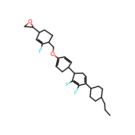 CCCC1CCC(C2=CCC(C3C=CC(OCC4CCC(C5CO5)C=C4F)=CC3)C(F)=C2F)CC1